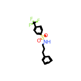 O=S(=O)(NCCCc1ccccc1)c1ccc(C(F)(F)F)cc1